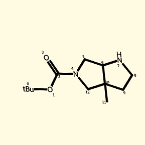 CC(C)(C)OC(=O)N1CC2NCCC2(C)C1